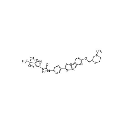 CN1CCO[C@@H](COc2ccc3c(n2)sc2nc(-c4ccc(NC(=O)Nc5cc(C(C)(C)C)on5)cc4)cn23)C1